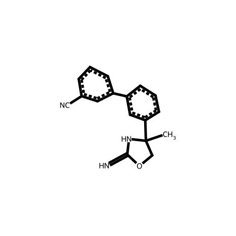 CC1(c2cccc(-c3cccc(C#N)c3)c2)COC(=N)N1